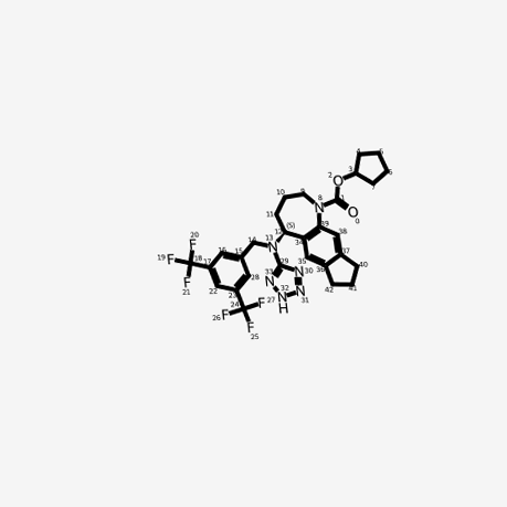 O=C(OC1CCCC1)N1CCC[C@H](N(Cc2cc(C(F)(F)F)cc(C(F)(F)F)c2)c2nn[nH]n2)c2cc3c(cc21)CCC3